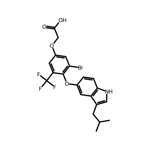 CC(C)Cc1c[nH]c2ccc(Oc3c(Br)cc(OCC(=O)O)cc3C(F)(F)F)cc12